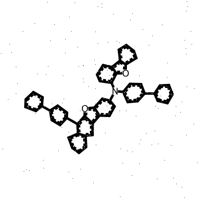 c1ccc(-c2ccc(-c3c4ccccc4cc4c3oc3cc(N(c5ccc(-c6ccccc6)cc5)c5cccc6c5oc5ccccc56)ccc34)cc2)cc1